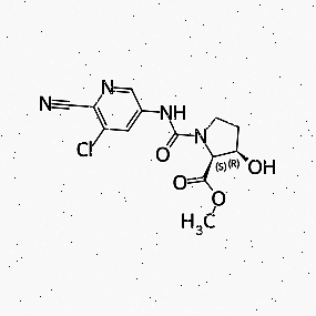 COC(=O)[C@@H]1[C@H](O)CCN1C(=O)Nc1cnc(C#N)c(Cl)c1